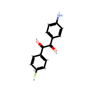 [NH]c1ccc(C(=O)C(=O)c2ccc(F)cc2)cc1